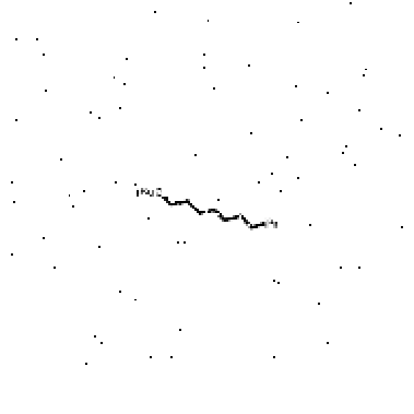 CC(C)CCCCCCCOCC(C)C